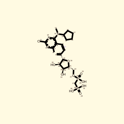 C=C(/C=C\c1c(C)nc(Cl)nc1N(C)C1CCCC1)[C@@H]1O[C@H](COP(=O)(O)CP(=O)(O)O)[C@@H](O)[C@H]1O